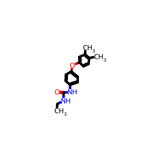 CCNC(=O)Nc1ccc(Oc2ccc(C)c(C)c2)cc1